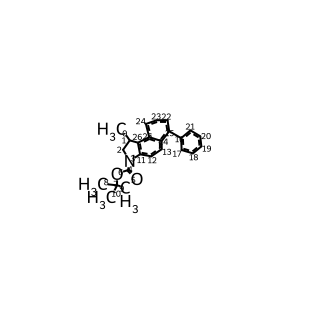 CC1CN(C(=O)OC(C)(C)C)c2ccc3c(-c4ccccc4)cccc3c21